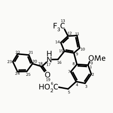 COc1ccc(CC(=O)O)cc1-c1ccc(C(F)(F)F)cc1CNC(=O)c1ccccc1